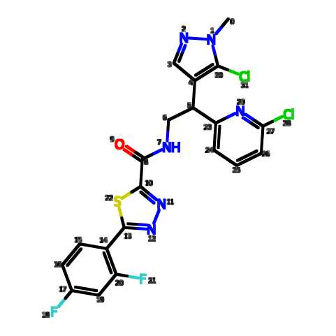 Cn1ncc(C(CNC(=O)c2nnc(-c3ccc(F)cc3F)s2)c2cccc(Cl)n2)c1Cl